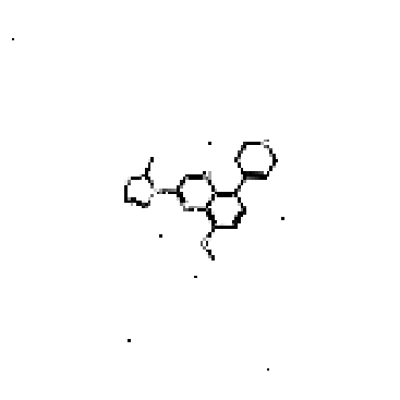 COc1ccc(C2=CCOCC2)c2ncc(N3C=CSC3C)nc12